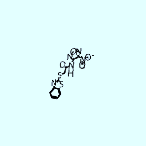 O=C(CSc1nc2ccccc2s1)Nc1nonc1[N+](=O)[O-]